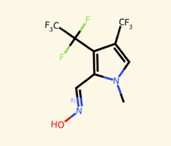 Cn1cc(C(F)(F)F)c(C(F)(F)C(F)(F)F)c1/C=N/O